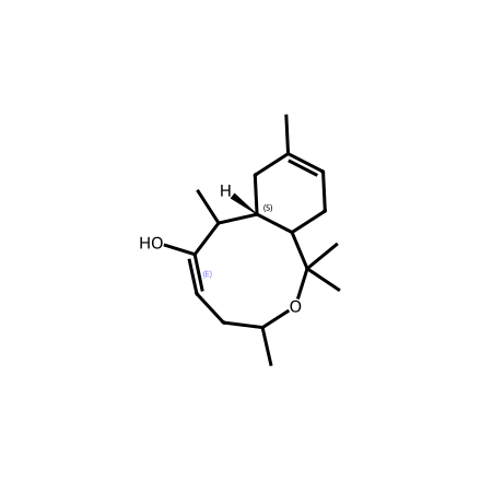 CC1=CCC2[C@@H](C1)C(C)/C(O)=C\CC(C)OC2(C)C